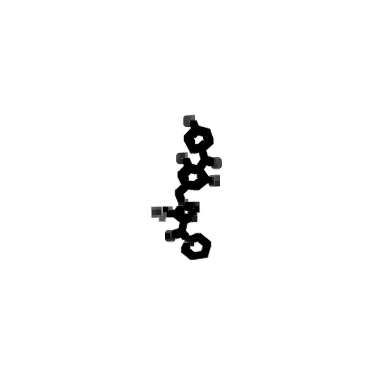 Nc1c(C(=O)N2CCCCC2)nnn1Cc1cc(Cl)c(C(=O)c2ccc(Cl)cc2)c(Cl)c1